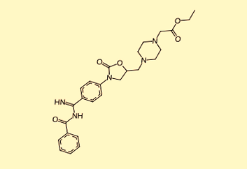 CCOC(=O)CN1CCN(CC2CN(c3ccc(C(=N)NC(=O)c4ccccc4)cc3)C(=O)O2)CC1